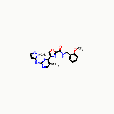 Cc1cnc(Nc2ccnn2C)nc1-c1coc(C(=O)NCc2ccccc2OC(F)(F)F)n1